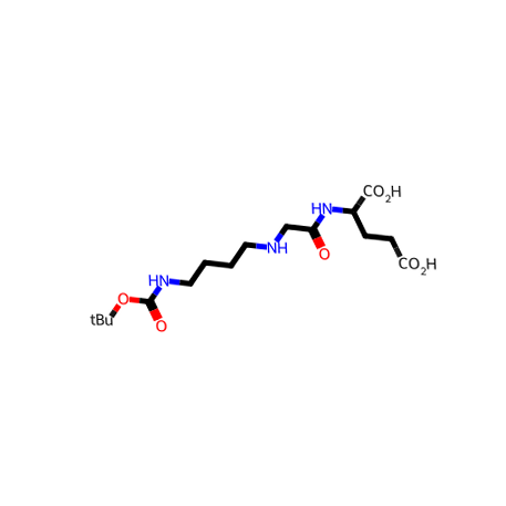 CC(C)(C)OC(=O)NCCCCNCC(=O)NC(CCC(=O)O)C(=O)O